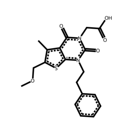 COCc1sc2c(c1C)c(=O)n(CC(=O)O)c(=O)n2CCc1ccccc1